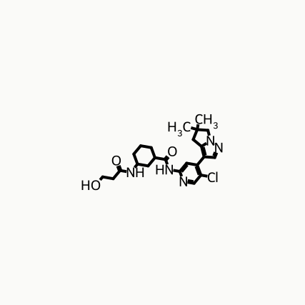 CC1(C)Cc2c(-c3cc(NC(=O)C4CCCC(NC(=O)CCO)C4)ncc3Cl)cnn2C1